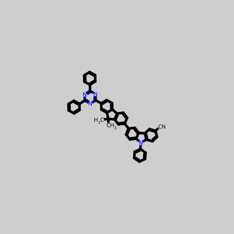 CC1(C)c2cc(-c3ccc4c(c3)c3cc(C#N)ccc3n4-c3ccccc3)ccc2-c2ccc(-c3nc(-c4ccccc4)nc(-c4ccccc4)n3)cc21